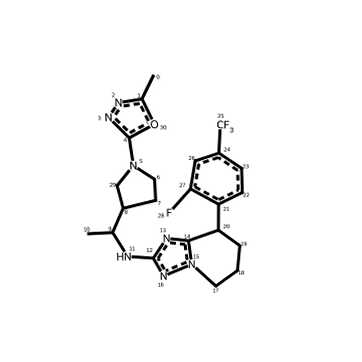 Cc1nnc(N2CCC(C(C)Nc3nc4n(n3)CCCC4c3ccc(C(F)(F)F)cc3F)C2)o1